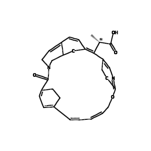 C[C@H](C(=O)O)C1=C2C=CC3=CCN(CC3C2)C(=O)C2=CC=C(C=CC=CCOC3=NC=C1CC3)CC2